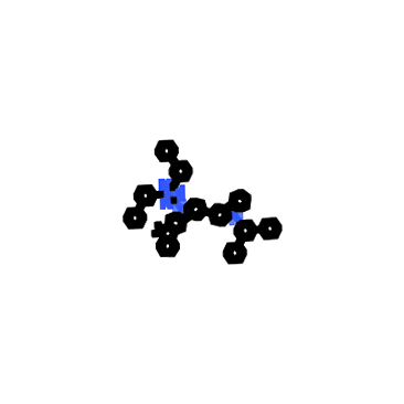 CC1(C)c2ccccc2-c2cc3c4cc(-c5ccc6c(c5)c5ccccc5n6-c5cc(-c6ccccc6)cc(-c6ccccc6)c5)ccc4n(-c4nc(-c5cccc(-c6ccccc6)c5)nc(-c5cccc(-c6ccccc6)c5)n4)c3cc21